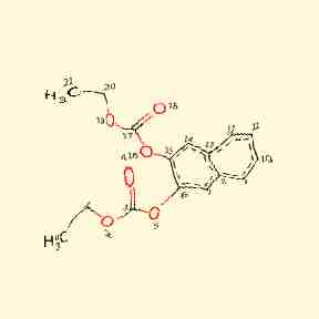 CCOC(=O)Oc1cc2ccccc2cc1OC(=O)OCC